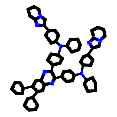 c1ccc(-c2cc3nc(-c4ccc(N(c5ccccc5)c5ccc(-c6cn7ccccc7n6)cc5)cc4)c(-c4ccc(N(c5ccccc5)c5ccc(-c6cn7ccccc7n6)cc5)cc4)nc3cc2-c2ccccc2)cc1